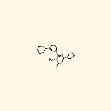 Cn1c(N2C=COC(C3CCCCC3)=C2)nc(-c2ccncc2)cc1=O